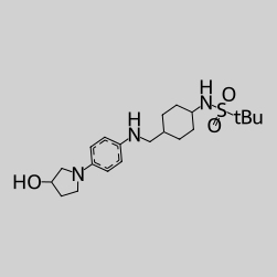 CC(C)(C)S(=O)(=O)NC1CCC(CNc2ccc(N3CCC(O)C3)cc2)CC1